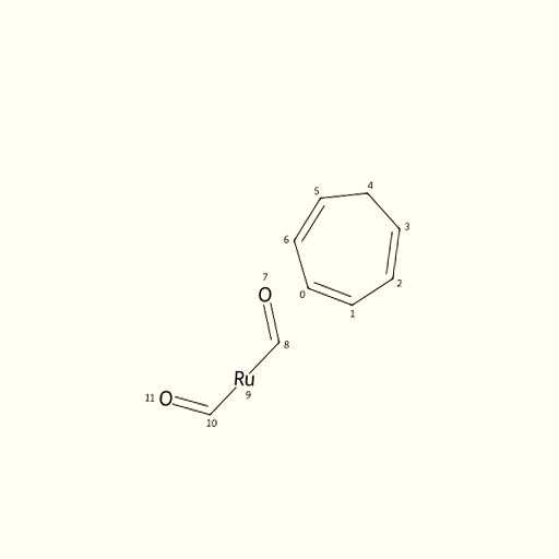 C1=CC=CCC=C1.O=[CH][Ru][CH]=O